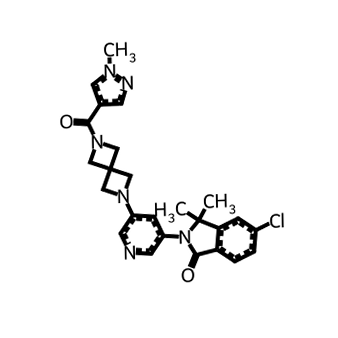 Cn1cc(C(=O)N2CC3(C2)CN(c2cncc(N4C(=O)c5ccc(Cl)cc5C4(C)C)c2)C3)cn1